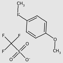 COc1ccc([I+]C)cc1.O=S(=O)([O-])C(F)(F)F